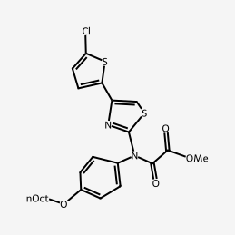 CCCCCCCCOc1ccc(N(C(=O)C(=O)OC)c2nc(-c3ccc(Cl)s3)cs2)cc1